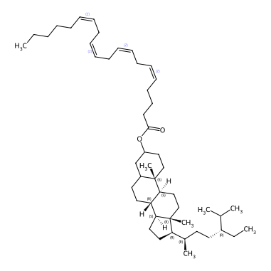 CCCCC/C=C\C/C=C\C/C=C\C/C=C\CCCC(=O)OC1CC[C@@]2(C)C(CC[C@H]3[C@@H]4CC[C@H]([C@H](C)CC[C@@H](CC)C(C)C)[C@@]4(C)CC[C@@H]32)C1